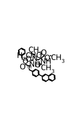 CCOC(=O)C(O)(CN(CC(C)C)C(=O)N[C@@H](Cc1ccc(-c2ccc3ccccc3c2)cc1)C(=O)OCc1ccccc1)NC(C)=O